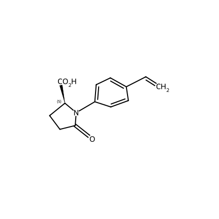 C=Cc1ccc(N2C(=O)CC[C@H]2C(=O)O)cc1